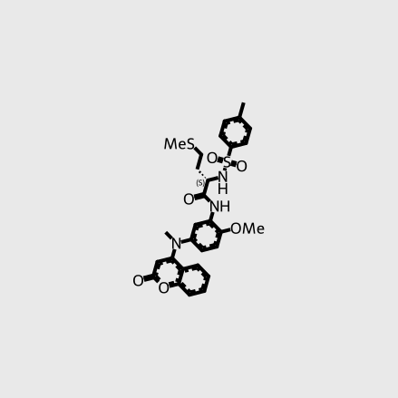 COc1ccc(N(C)c2cc(=O)oc3ccccc23)cc1NC(=O)[C@H](CCSC)NS(=O)(=O)c1ccc(C)cc1